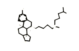 CC(C)CCCN(C)CCCCC[C@@H]1Cc2cc(O)ccc2[C@@H]2[C@@H]1[C@@H]1CC[C@H](O)[C@@]1(C)C[C@@H]2F